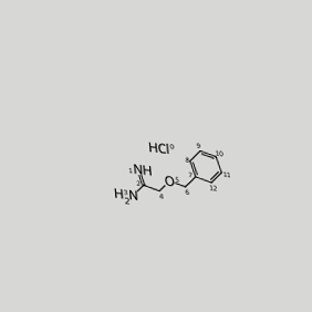 Cl.N=C(N)COCc1ccccc1